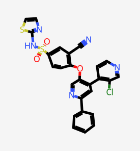 N#Cc1cc(S(=O)(=O)Nc2nccs2)ccc1Oc1cnc(-c2ccccc2)cc1-c1ccncc1Cl